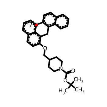 COc1ccc2ccccc2c1Cc1c(OCC2CCN(C(=O)OC(C)(C)C)CC2)ccc2ccccc12